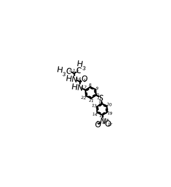 CC(C)NC(=O)Nc1ccc(Sc2ccc([N+](=O)[O-])cc2)cc1